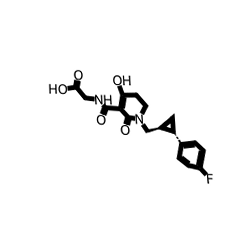 O=C(O)CNC(=O)C1=C(O)CCN(C[C@H]2C[C@@H]2c2ccc(F)cc2)C1=O